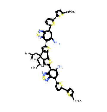 CCCCCCc1ccc(-c2ccc(-c3cc(N)c(-c4cc5c(s4)-c4sc(-c6c(N)cc(-c7ccc(-c8ccc(CCCCCC)s8)s7)c7nsnc67)cc4C5(CC(CC)CCCC)CC(CC)CCCC)c4nsnc34)s2)s1